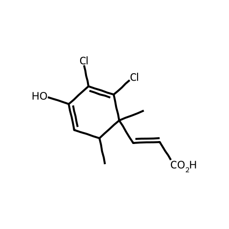 CC1C=C(O)C(Cl)=C(Cl)C1(C)/C=C/C(=O)O